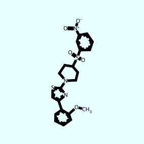 COc1ccccc1-c1csc(N2CCC(S(=O)(=O)c3cccc([N+](=O)[O-])c3)CC2)n1